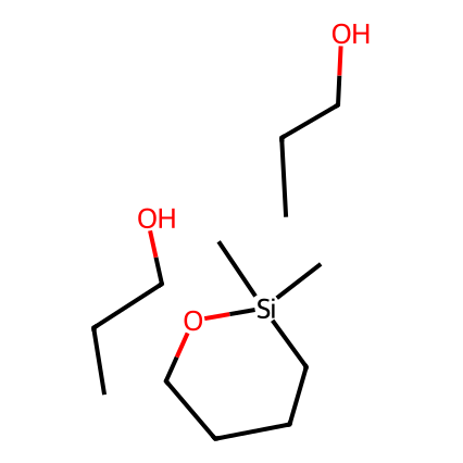 CCCO.CCCO.C[Si]1(C)CCCCO1